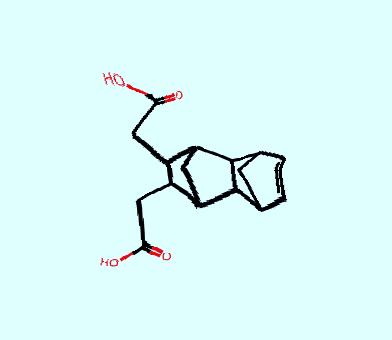 O=C(O)CC1C(CC(=O)O)C2CC1C1C3C=CC(C3)C21